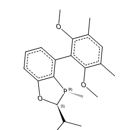 COc1c(C)cc(C)c(OC)c1-c1cccc2c1[P@](C)[C@@H](C(C)C)O2